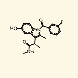 CNC(=O)[C@H](C)c1c(C)n(C(=O)c2cccc(F)c2)c2ccc(O)cc12